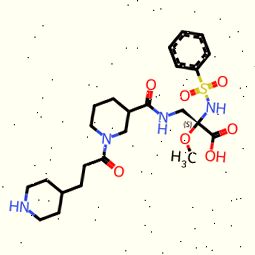 CO[C@](CNC(=O)C1CCCN(C(=O)CCC2CCNCC2)C1)(NS(=O)(=O)c1ccccc1)C(=O)O